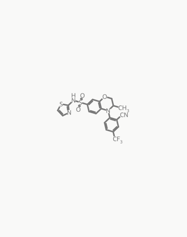 CC1COc2cc(S(=O)(=O)Nc3nccs3)ccc2N1c1ccc(C(F)(F)F)cc1C#N